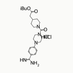 CC(C)COC(=O)CC1CCN(C(=O)N2CCN(c3ccc(C(=N)N)cc3)CC2)CC1.Cl.Cl